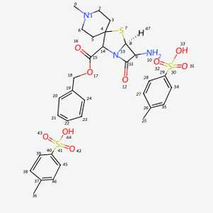 CN1CCC2(CC1)S[C@H]1C(N)C(=O)N1C2C(=O)OCc1ccccc1.Cc1ccc(S(=O)(=O)O)cc1.Cc1ccc(S(=O)(=O)O)cc1